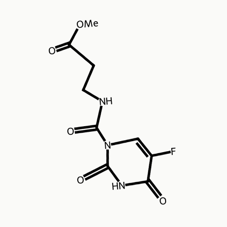 COC(=O)CCNC(=O)n1cc(F)c(=O)[nH]c1=O